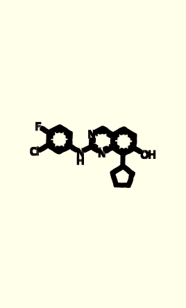 Oc1ccc2cnc(Nc3ccc(F)c(Cl)c3)nc2c1C1CCCC1